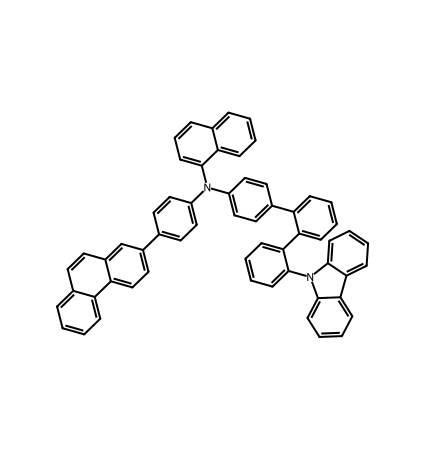 c1ccc(-c2ccccc2-n2c3ccccc3c3ccccc32)c(-c2ccc(N(c3ccc(-c4ccc5c(ccc6ccccc65)c4)cc3)c3cccc4ccccc34)cc2)c1